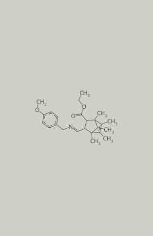 CCOC(=O)C1C(/C=N/Cc2ccc(OC)cc2)C2(C)C(C)=C(C)C1(C)C2C